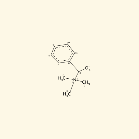 C[N+](C)(C)C([O-])c1ccccc1